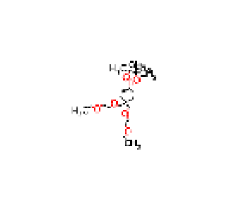 CCOCCOCC1(COCCOCC)CC=C(B2OC(C)(C)C(C)(C)O2)CC1